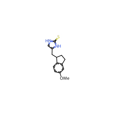 COc1ccc2c(c1)CCC2Cc1c[nH]c(=S)[nH]1